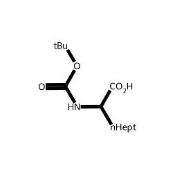 CCCCCCCC(NC(=O)OC(C)(C)C)C(=O)O